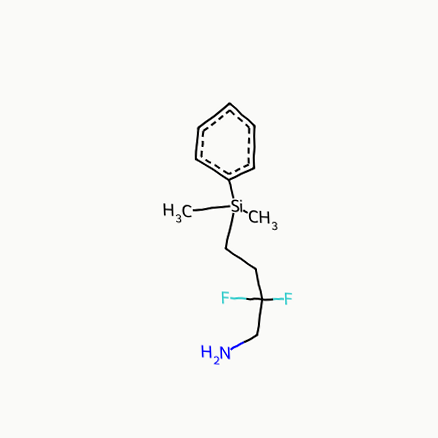 C[Si](C)(CCC(F)(F)CN)c1ccccc1